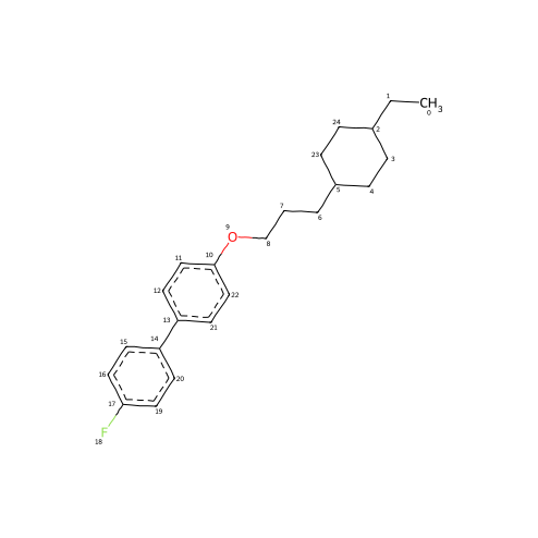 CCC1CCC(CCCOc2ccc(-c3ccc(F)cc3)cc2)CC1